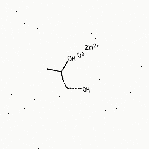 CC(O)CO.[O-2].[Zn+2]